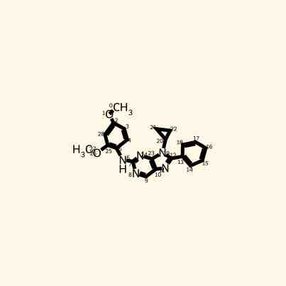 COc1ccc(Nc2ncc3nc(-c4ccccc4)n(C4CC4)c3n2)c(OC)c1